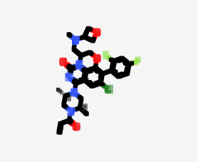 C=CC(=O)N1C[C@H](C)N(c2nc(=O)n3c4c(c(-c5ccc(F)cc5F)c(Cl)cc24)OCC3CN(C)C2COC2)C[C@H]1C